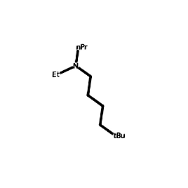 CCCN(CC)CCCCC(C)(C)C